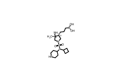 C[C@]1(N)CN(S(=O)(=O)N(C2CCC2)C2CCNCC2)C[C@@H]1CCCB(O)O